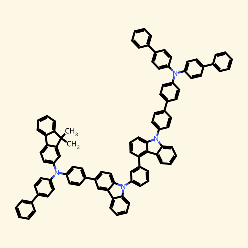 CC1(C)c2ccccc2-c2ccc(N(c3ccc(-c4ccccc4)cc3)c3ccc(-c4ccc5c(c4)c4ccccc4n5-c4cccc(-c5cccc6c5c5ccccc5n6-c5ccc(-c6ccc(N(c7ccc(-c8ccccc8)cc7)c7ccc(-c8ccccc8)cc7)cc6)cc5)c4)cc3)cc21